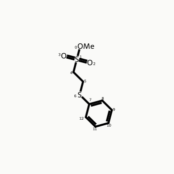 COS(=O)(=O)CCSc1ccccc1